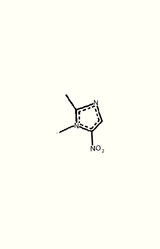 [CH2]n1c([N+](=O)[O-])cnc1C